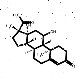 CC(=O)[C@@]1(C)CC[C@H]2[C@@H]3CCC4=CC(=O)CC[C@]4(C)[C@H]3C(O)C[C@@]21C